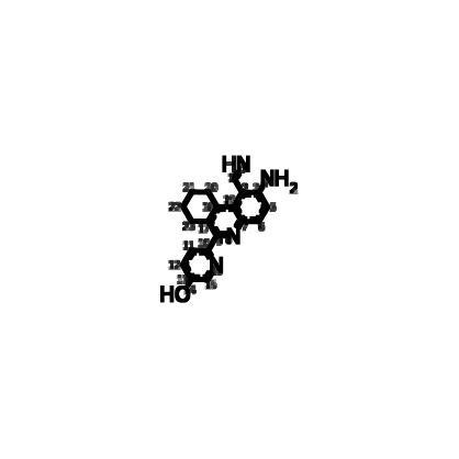 N=Cc1c(N)ccc2nc(-c3ccc(O)cn3)c3c(c12)CCCC3